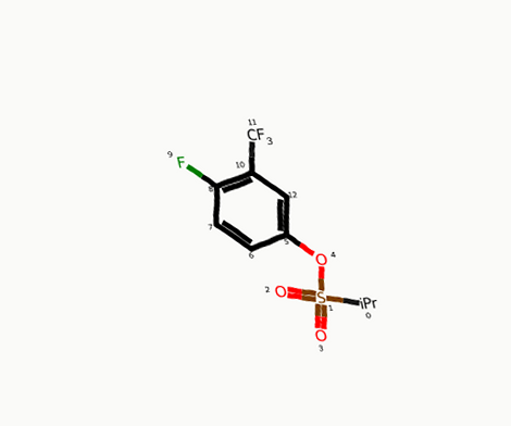 CC(C)S(=O)(=O)Oc1ccc(F)c(C(F)(F)F)c1